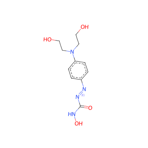 O=C(/N=N/c1ccc(N(CCO)CCO)cc1)NO